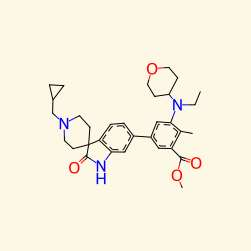 CCN(c1cc(-c2ccc3c(c2)NC(=O)C32CCN(CC3CC3)CC2)cc(C(=O)OC)c1C)C1CCOCC1